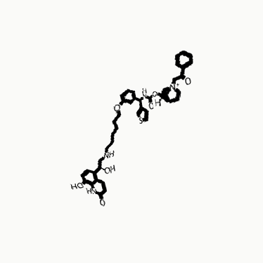 O=C(NC(c1ccsc1)c1cccc(OCCCCCCNC[C@H](O)c2ccc(O)c3[nH]c(=O)ccc23)c1)O[C@H]1C[N+]2(CC(=O)c3ccccc3)CCC1CC2